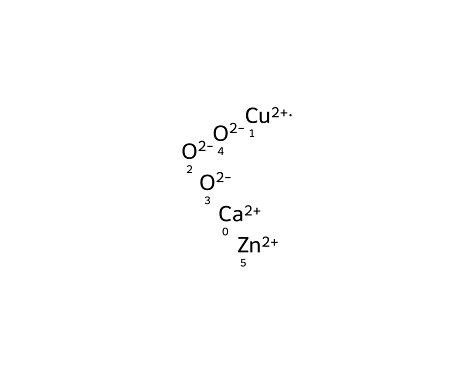 [Ca+2].[Cu+2].[O-2].[O-2].[O-2].[Zn+2]